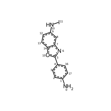 Nc1ccc(-c2nc3cc(NI)ccc3o2)cc1